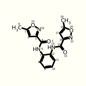 Cc1cc(C(=O)Nc2ccccc2NC(=O)c2cc(C)on2)no1